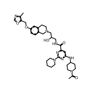 CC(=O)N1CCC(Nc2cc(C(=O)NCC(O)CN3CCc4cc(OCc5ocnc5C)ccc4C3)nc(N3CCCCC3)n2)CC1